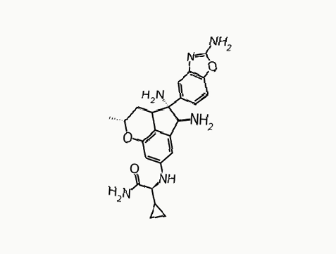 C[C@@H]1CC2c3c(cc(N[C@H](C(N)=O)C4CC4)cc3C(N)[C@]2(N)c2ccc3oc(N)nc3c2)O1